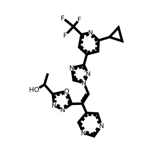 CC(O)c1nnc(C(=Cn2cnc(-c3cc(C4CC4)nc(C(F)(F)F)c3)n2)c2cncnc2)o1